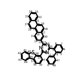 c1ccc(-c2ccccc2-c2nc(-c3ccc4c(ccc5c6ccccc6ccc45)c3)nc(-c3cccc4c3sc3ccccc34)n2)cc1